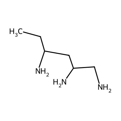 CCC(N)CC(N)CN